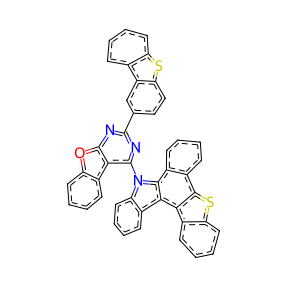 c1ccc2c(c1)oc1nc(-c3ccc4sc5ccccc5c4c3)nc(-n3c4ccccc4c4c5c6ccccc6sc5c5ccccc5c43)c12